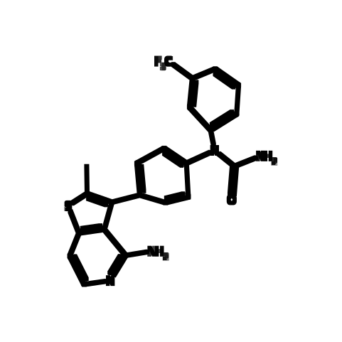 Cc1sc2ccnc(N)c2c1-c1ccc(N(C(N)=O)c2cccc(C(F)(F)F)c2)cc1